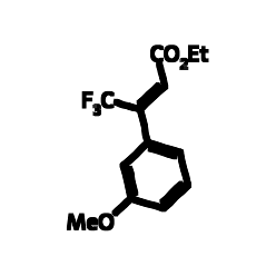 CCOC(=O)/C=C(/c1cccc(OC)c1)C(F)(F)F